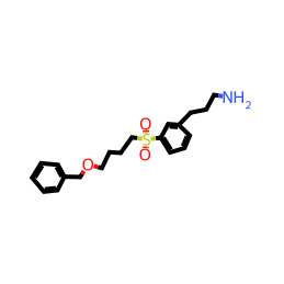 NCCCc1cccc(S(=O)(=O)CCCCOCc2ccccc2)c1